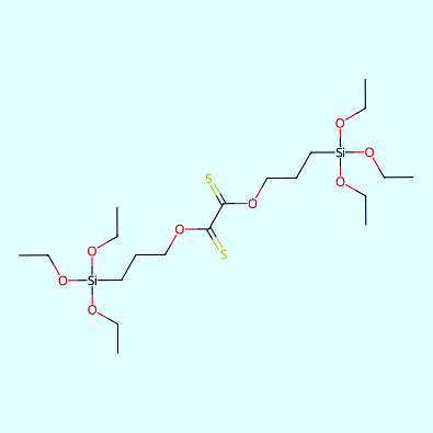 CCO[Si](CCCOC(=S)C(=S)OCCC[Si](OCC)(OCC)OCC)(OCC)OCC